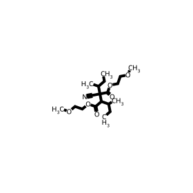 CCC(C)C(C(=O)OCCOC)C(C#N)(C(=O)OCCOC)C(C)CC